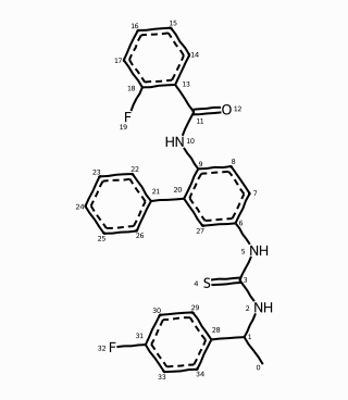 CC(NC(=S)Nc1ccc(NC(=O)c2ccccc2F)c(-c2ccccc2)c1)c1ccc(F)cc1